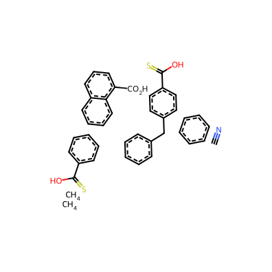 C.C.C#N.O=C(O)c1cccc2ccccc12.OC(=S)c1ccc(Cc2ccccc2)cc1.OC(=S)c1ccccc1.c1ccccc1